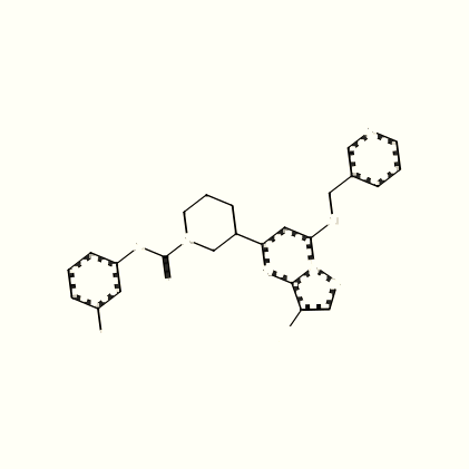 Bc1cnn2c(NCc3cccnc3)cc(C3CCCN(C(=O)Nc4cccc(Cl)c4)C3)nc12